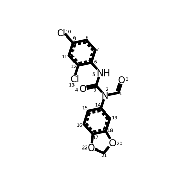 O=CN(C(=O)Nc1ccc(Cl)cc1Cl)c1ccc2c(c1)OCO2